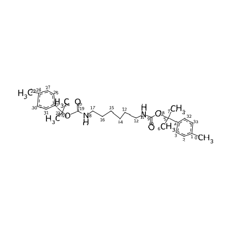 Cc1ccc(C(C)(C)OC(=O)NCCCCCCNC(=O)OC(C)(C)c2ccc(C)cc2)cc1